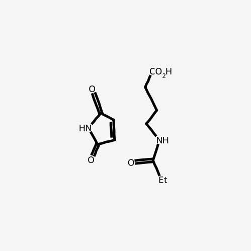 CCC(=O)NCCCC(=O)O.O=C1C=CC(=O)N1